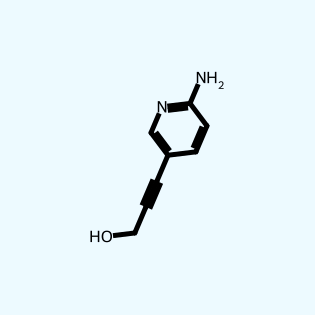 Nc1ccc(C#CCO)cn1